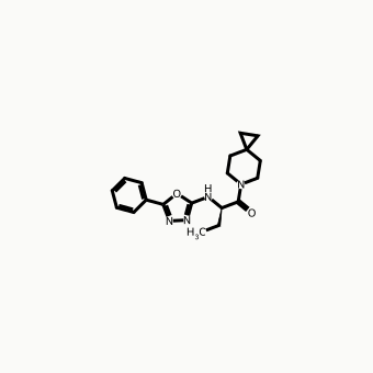 CC[C@@H](Nc1nnc(-c2ccccc2)o1)C(=O)N1CCC2(CC1)CC2